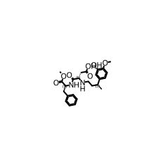 COC(=O)[C@H](Cc1ccccc1)NC(=O)[C@H](CC(=O)O)NCC[C@H](C)c1ccc(OC)c(O)c1